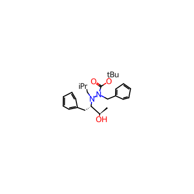 CC(C)CN([C@@H](Cc1ccccc1)[C@@H](C)O)N(Cc1ccccc1)C(=O)OC(C)(C)C